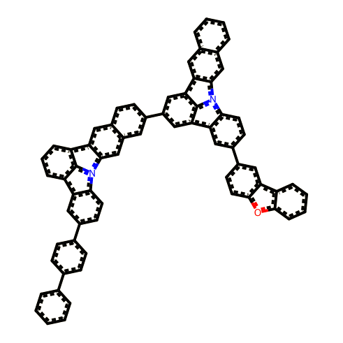 c1ccc(-c2ccc(-c3ccc4c(c3)c3cccc5c6cc7ccc(-c8cc9c%10cc(-c%11ccc%12oc%13ccccc%13c%12c%11)ccc%10n%10c%11cc%12ccccc%12cc%11c(c8)c9%10)cc7cc6n4c35)cc2)cc1